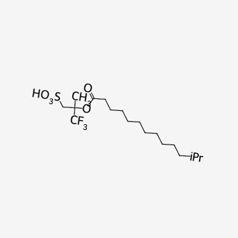 CC(C)CCCCCCCCCCC(=O)OC(C)(CS(=O)(=O)O)C(F)(F)F